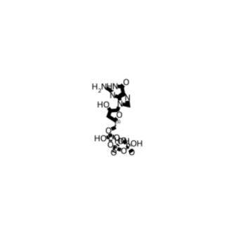 Nc1nc2c(ncn2C2O[C@H](COP(=O)(O)OP(=O)(O)OP(=O)(O)O)CC2O)c(=O)[nH]1